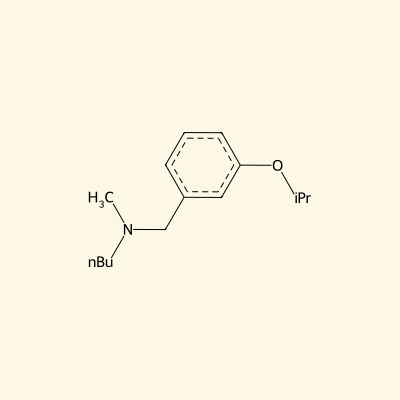 CCCCN(C)Cc1cccc(OC(C)C)c1